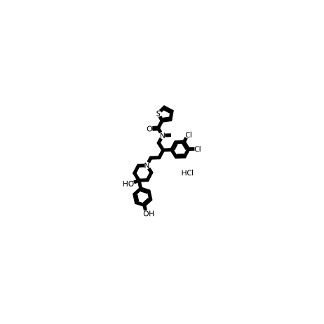 CN(CC(CCN1CCC(O)(c2ccc(O)cc2)CC1)c1ccc(Cl)c(Cl)c1)C(=O)c1cccs1.Cl